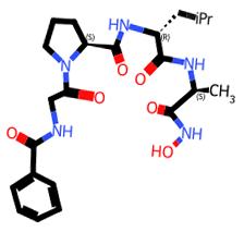 CC(C)C[C@@H](NC(=O)[C@@H]1CCCN1C(=O)CNC(=O)c1ccccc1)C(=O)N[C@@H](C)C(=O)NO